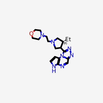 CC[C@H]1CN(CCN2CCOCC2)CC1c1nnc2cnc3[nH]ccc3n12